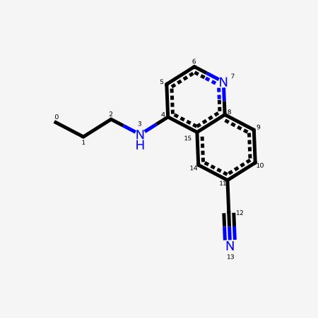 CCCNc1ccnc2ccc(C#N)cc12